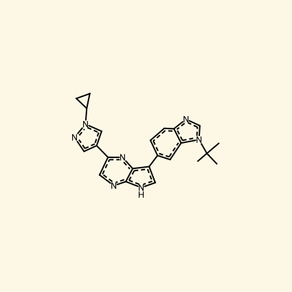 CC(C)(C)n1cnc2ccc(-c3c[nH]c4ncc(-c5cnn(C6CC6)c5)nc34)cc21